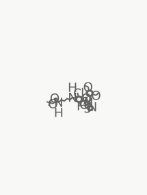 COc1ccc(CN(c2nccs2)S(=O)(=O)c2cc(Cl)c(NCCCCNC(=O)OC(C)(C)C)cc2F)c(OC)c1